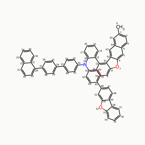 Cc1ccc2cc3oc4cccc(-c5ccccc5N(c5ccc(-c6ccc(-c7cccc8ccccc78)cc6)cc5)c5ccc(-c6ccc7c(c6)oc6ccccc67)cc5)c4c3cc2c1